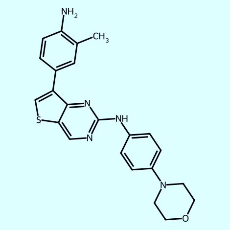 Cc1cc(-c2csc3cnc(Nc4ccc(N5CCOCC5)cc4)nc23)ccc1N